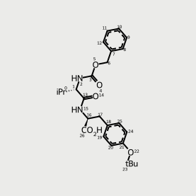 CC(C)[C@H](NC(=O)OCc1ccccc1)C(=O)N[C@@H](Cc1ccc(OC(C)(C)C)cc1)C(=O)O